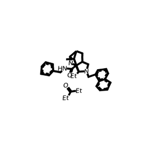 CCC(=O)CC.CCC12C(C)C3C=NC1(C(=O)NCc1ccccc1)C(C3)CN2Cc1cccc2ccccc12